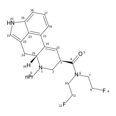 CCCN1C[C@H](C(=O)N(CCF)CCF)C=C2c3cccc4[nH]cc(c34)C[C@H]21